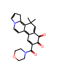 CC1(C)C=C2C(=O)C(=O)C(C(=O)N3CCOCC3)=CC2=C2C=CN3C=CCC3=C21